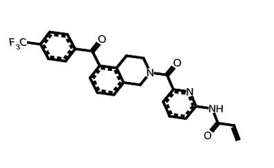 C=CC(=O)Nc1cccc(C(=O)N2CCc3c(cccc3C(=O)c3ccc(C(F)(F)F)cc3)C2)n1